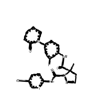 CC1(C(=O)Nc2ccc(-n3ccccc3=O)cc2F)CC=NN1C(=O)Nc1ccc(Cl)cn1